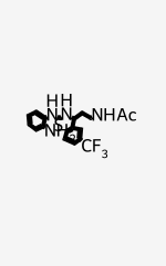 CC(=O)NCCC(NC(=S)Nc1ccccc1N)c1cccc(C(F)(F)F)c1